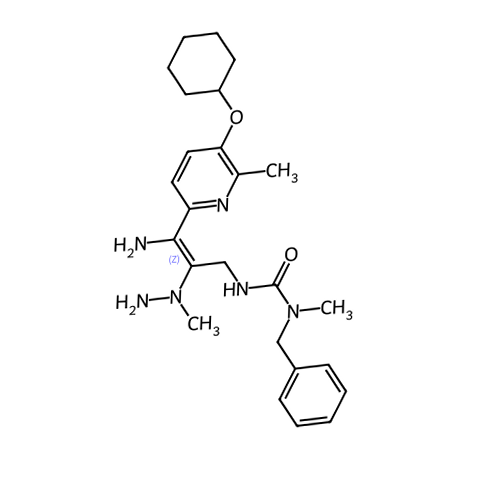 Cc1nc(/C(N)=C(\CNC(=O)N(C)Cc2ccccc2)N(C)N)ccc1OC1CCCCC1